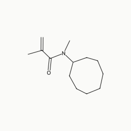 C=C(C)C(=O)N(C)C1CCCCCCC1